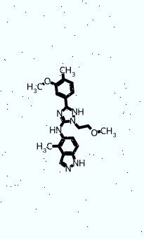 COCCN1NC(c2ccc(C)c(OC)c2)N=C1Nc1ccc2[nH]ncc2c1C